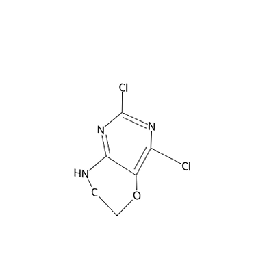 Clc1nc(Cl)c2c(n1)NCCO2